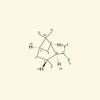 C[C@@H]1C[C@@H]2C[C@H]([C@H]1C(F)F)C2(C)C